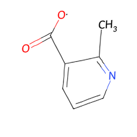 Cc1ncccc1C([O])=O